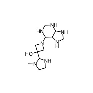 CN1CCNC1C1(O)CN(C2NCNC3NCNC32)C1